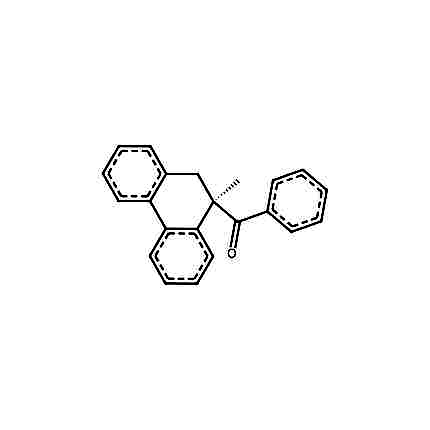 C[C@@]1(C(=O)c2ccccc2)Cc2ccccc2-c2ccccc21